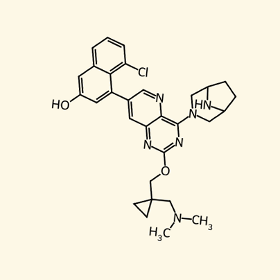 CN(C)CC1(COc2nc(N3CC4CCC(C3)N4)c3ncc(-c4cc(O)cc5cccc(Cl)c45)cc3n2)CC1